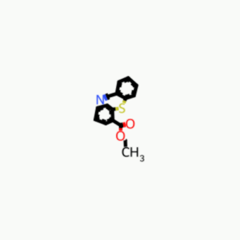 CCOC(=O)c1ccccc1Sc1ccccc1C#N